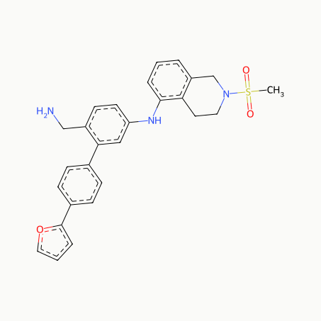 CS(=O)(=O)N1CCc2c(cccc2Nc2ccc(CN)c(-c3ccc(-c4ccco4)cc3)c2)C1